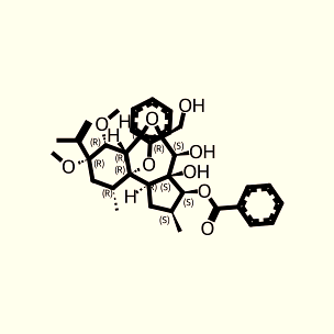 C=C(C)[C@]1(OC)C[C@@H](C)[C@@]2(Oc3ccccc3)[C@H]([C@H]1OC)[C@@H]1O[C@]1(CO)[C@@H](O)[C@@]1(O)[C@H]2C[C@H](C)[C@@H]1OC(=O)c1ccccc1